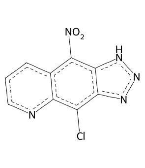 O=[N+]([O-])c1c2cccnc2c(Cl)c2nn[nH]c12